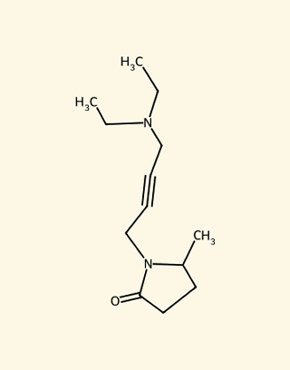 CCN(CC)CC#CCN1C(=O)CCC1C